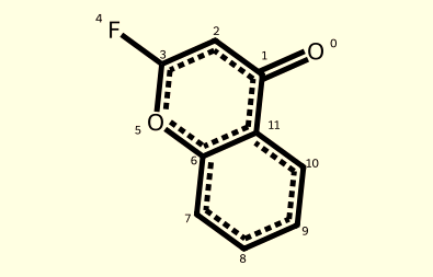 O=c1cc(F)oc2ccccc12